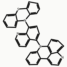 c1ccc2c(c1)Sc1ccccc1N2c1ccc(B2c3ccccc3-c3ccnc4cccc2c34)c2cccnc12